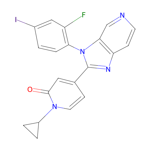 O=c1cc(-c2nc3ccncc3n2-c2ccc(I)cc2F)ccn1C1CC1